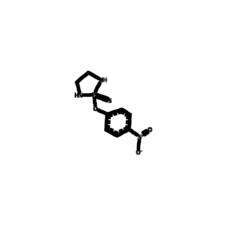 O=[N+]([O-])c1ccc(OP2(=S)NCCN2)cc1